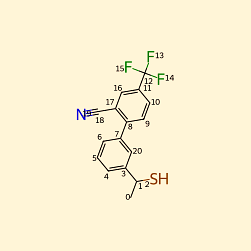 CC(S)c1cccc(-c2ccc(C(F)(F)F)cc2C#N)c1